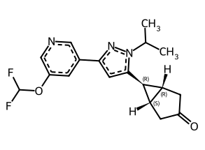 CC(C)n1nc(-c2cncc(OC(F)F)c2)cc1[C@H]1[C@@H]2CC(=O)C[C@@H]21